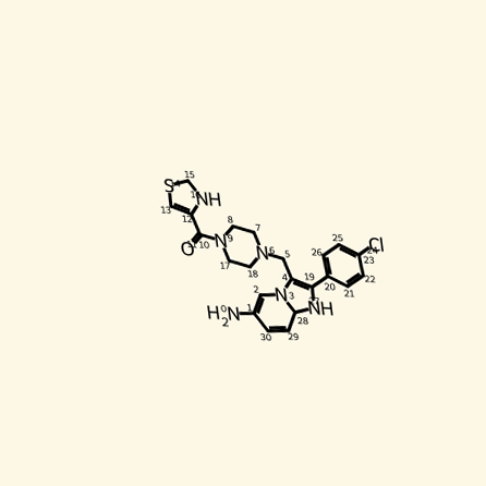 NC1=CN2C(CN3CCN(C(=O)C4=CSCN4)CC3)=C(c3ccc(Cl)cc3)NC2C=C1